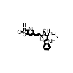 CC(c1cc2ccccc2[nH]1)N(C)C(=O)C=Cc1cnc2[nH]c(=O)oc2c1